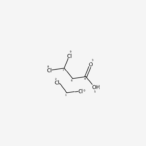 ClCCl.O=C(O)CC(Cl)Cl